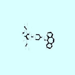 C=CCNc1nc(N2CCC(NCC3c4ccccc4C=Cc4ccccc43)CC2)nc2c1ncn2CC=C